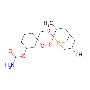 CC1CC2CC(C)C3(OCC4(CCCC(OC(N)=O)C4)OO3)P(C1)C2